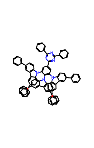 c1ccc(-c2ccc3c(c2)c2cc(-c4ccccc4)ccc2n3-c2cc(-c3nc(-c4ccccc4)nc(-c4ccccc4)n3)cc(-n3c4ccc(-c5ccccc5)cc4c4cc(-c5ccccc5)ccc43)c2-n2c3ccc(-c4ccccc4)cc3c3cc(-c4ccccc4)ccc32)cc1